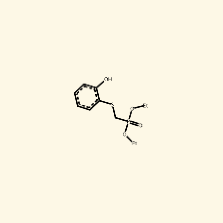 CCOP(=O)(CSc1ccccc1O)OCC